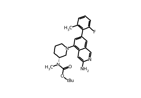 Cc1cccc(F)c1-c1cc(N2CCC[C@@H](N(C)C(=O)OC(C)(C)C)C2)c2cc(N)ncc2c1